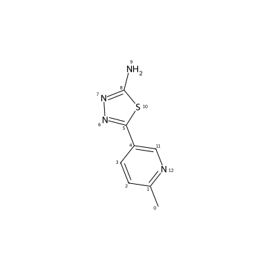 Cc1ccc(-c2nnc(N)s2)cn1